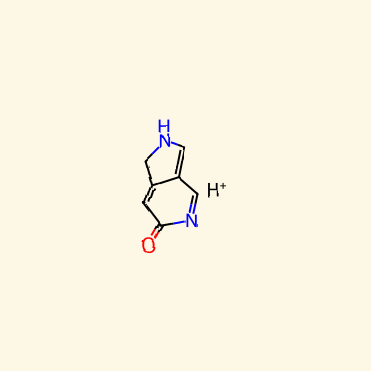 O=C1C=C2CNC=C2C=N1.[H+]